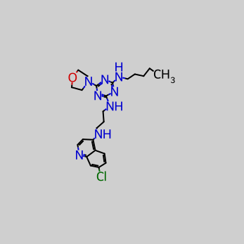 CCCCCNc1nc(NCCCNc2ccnc3cc(Cl)ccc23)nc(N2CCOCC2)n1